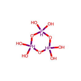 O[PH]1(O)O[PH](O)(O)O[PH](O)(O)O1